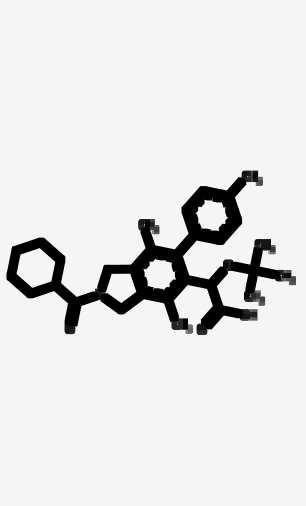 Cc1ccc(-c2c(C)c3c(c(C)c2C(OC(C)(C)C)C(=O)O)CN(C(=O)C2CCCCC2)C3)cc1